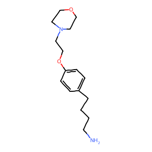 NCCCCc1ccc(OCCN2CCOCC2)cc1